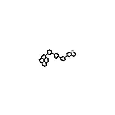 c1cc(-c2ccc(-c3cccc(-c4ccc5ccc6cccc7ccc4c5c67)c3)cc2)cc(-c2ccc3ncccc3c2)c1